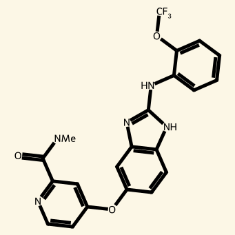 CNC(=O)c1cc(Oc2ccc3[nH]c(Nc4ccccc4OC(F)(F)F)nc3c2)ccn1